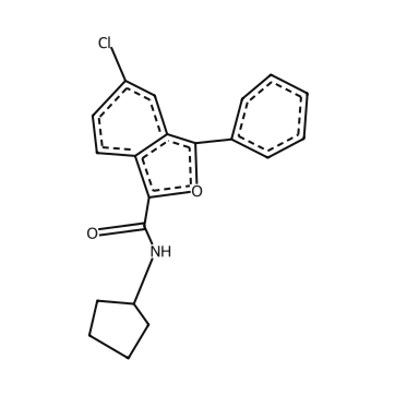 O=C(NC1CCCC1)c1oc(-c2ccccc2)c2cc(Cl)ccc12